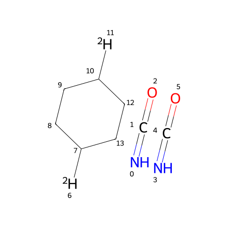 N=C=O.N=C=O.[2H]C1CCC([2H])CC1